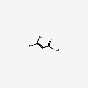 CNC(=O)/C=C(\S)Cl